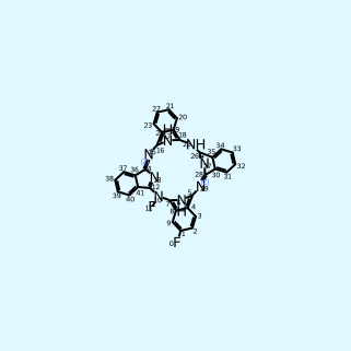 Fc1ccc2c3[nH]c(c2c1)N(F)C1=N/C(=N\c2[nH]c(c4ccccc24)NC2=N/C(=N\3)c3ccccc32)c2ccccc21